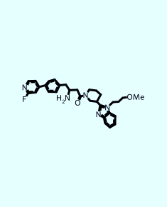 COCCCn1c(C2CCCN(C(=O)CC(N)Cc3ccc(-c4ccnc(F)c4)cc3)C2)nc2ccccc21